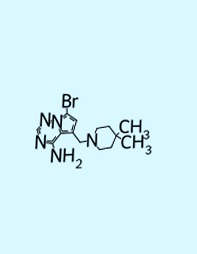 CC1(C)CCN(Cc2cc(Br)n3ncnc(N)c23)CC1